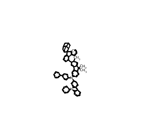 CC1C=C2C(=CC1c1cccc3c1-c1ccccc1C31C3CC4CC(C3)CC1C4)c1cc(N(c3ccc(-c4ccccc4)cc3)c3ccc4c5ccccc5n(-c5ccccc5)c4c3)ccc1C2(C)C